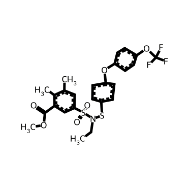 CCN(Sc1ccc(Oc2ccc(OC(F)(F)F)cc2)cc1)S(=O)(=O)c1cc(C)c(C)c(C(=O)OC)c1